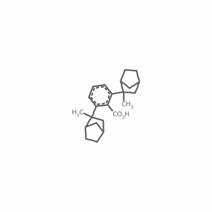 CC1(c2cccc(C3(C)CC4CCC3C4)c2C(=O)O)CC2CCC1C2